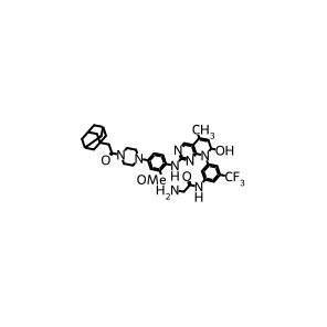 COc1cc(N2CCN(C(=O)CC34CC5CC(CC(C5)C3)C4)CC2)ccc1Nc1ncc2c(n1)N(c1cc(NC(=O)CN)cc(C(F)(F)F)c1)C(O)C=C2C